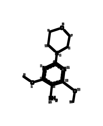 COc1nc(N2CCOCC2)nc(OC)c1N